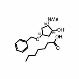 CCCCCCC(=O)O.CN[C@H]1C[C@H](OCc2ccccc2)C[C@@H]1O